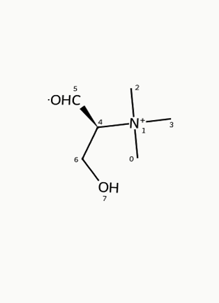 C[N+](C)(C)[C@H]([C]=O)CO